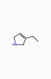 CCC1=CCN[C]1